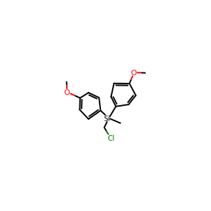 COc1ccc([Si](C)(CCl)c2ccc(OC)cc2)cc1